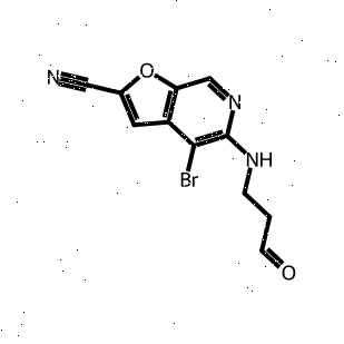 N#Cc1cc2c(Br)c(NCCC=O)ncc2o1